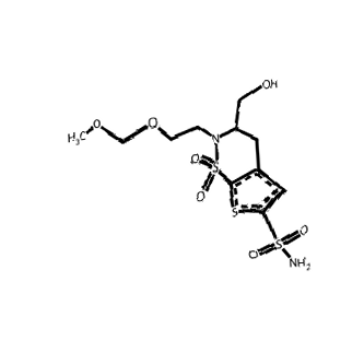 COCOCCN1C(CO)Cc2cc(S(N)(=O)=O)sc2S1(=O)=O